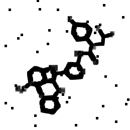 Cn1ccc2[nH]c(-c3ccnc(NC(=O)[C@H](CC(F)F)c4ccc(F)cc4)c3)c(Nc3ccccc3)c2c1=O